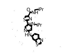 CC(C)CNC(=O)c1csc(-c2cnc(Nc3ccc4ncsc4c3)cc2NC(C)C)n1